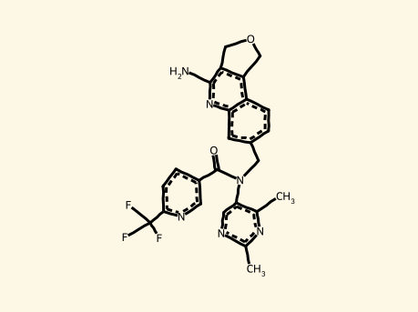 Cc1ncc(N(Cc2ccc3c4c(c(N)nc3c2)COC4)C(=O)c2ccc(C(F)(F)F)nc2)c(C)n1